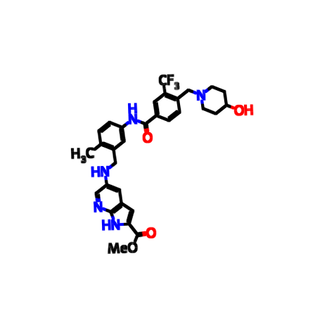 COC(=O)c1cc2cc(NCc3cc(NC(=O)c4ccc(CN5CCC(O)CC5)c(C(F)(F)F)c4)ccc3C)cnc2[nH]1